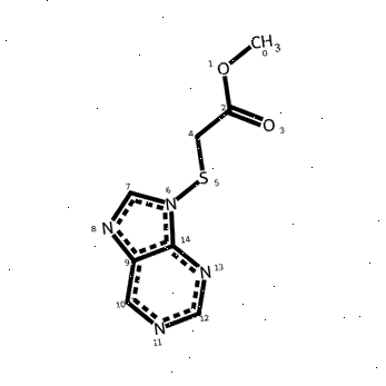 COC(=O)CSn1cnc2cncnc21